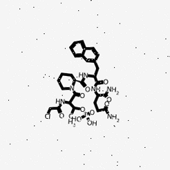 CC(OP(=O)(O)O)C(NC(=O)CCl)C(=O)N1CCCC[C@H]1C(=O)NC(Cc1ccc2ccccc2c1)C(=O)NC(CCC(N)=O)C(N)=O